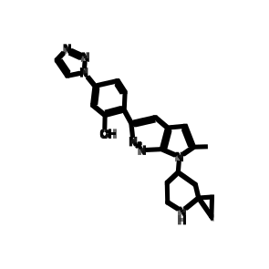 Cc1cc2cc(-c3ccc(-n4ccnn4)cc3O)nnc2n1C1CCNC2(CC2)C1